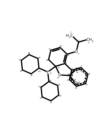 CC(C)OC1=C(c2ccccc2)C(OC(C)C)(P(C2CCCCC2)C2CCCCC2)CC=C1